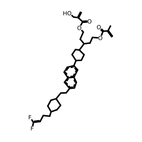 C=C(C)C(=O)OCCC(CCOC(=O)C(=C)CO)C1CCC(c2ccc3cc(CCC4CCC(CCC=C(F)F)CC4)ccc3c2)CC1